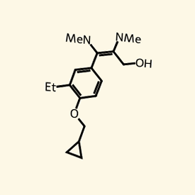 CCc1cc(/C(NC)=C(\CO)NC)ccc1OCC1CC1